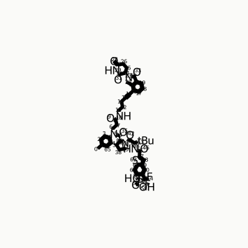 Cc1ccc(N(CCC(=O)NCCCC#Cc2cccc3c2CN(C2CCC(=O)NC2=O)C3=O)C(=O)[C@@H]2CCCN2C(=O)C(NC(=O)c2cc3cc(C(F)(F)P(=O)(O)O)ccc3s2)C(C)(C)C)cc1